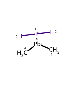 I[I-]I.[CH3][Pb][CH3]